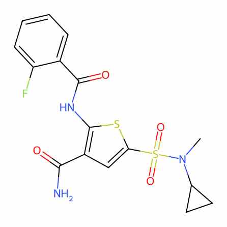 CN(C1CC1)S(=O)(=O)c1cc(C(N)=O)c(NC(=O)c2ccccc2F)s1